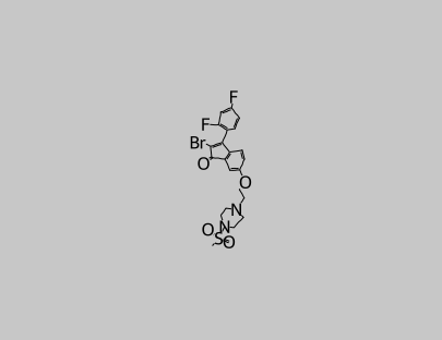 CS(=O)(=O)N1CCN(CCOc2ccc3c(c2)C(=O)C(Br)=C3c2ccc(F)cc2F)CC1